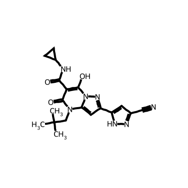 CC(C)(C)Cn1c(=O)c(C(=O)NC2CC2)c(O)n2nc(-c3cc(C#N)n[nH]3)cc12